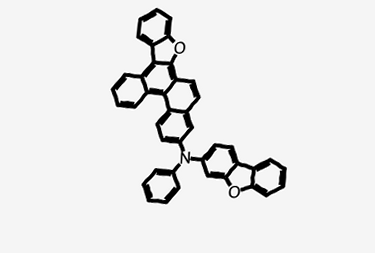 c1ccc(N(c2ccc3c(ccc4c5oc6ccccc6c5c5ccccc5c34)c2)c2ccc3c(c2)oc2ccccc23)cc1